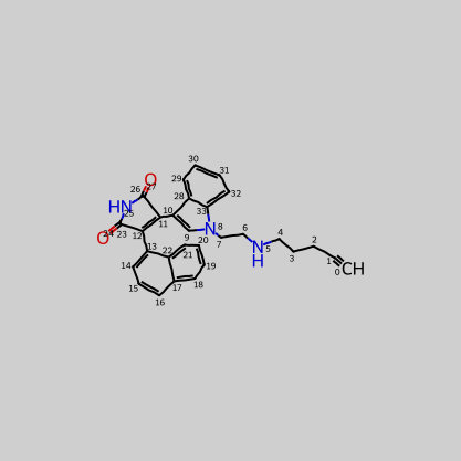 C#CCCCNCCn1cc(C2=C(c3cccc4ccccc34)C(=O)NC2=O)c2ccccc21